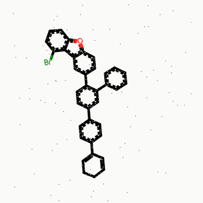 Brc1cccc2oc3ccc(-c4ccc(-c5ccc(C6=CCCC=C6)cc5)cc4-c4ccccc4)cc3c12